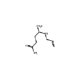 C=CCNC(CCC(N)=O)C(=O)O